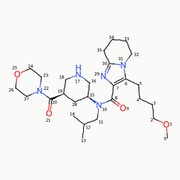 COCCCCc1c(C(=O)N(CC(C)C)[C@@H]2CNC[C@H](C(=O)N3CCOCC3)C2)nc2n1CCCC2